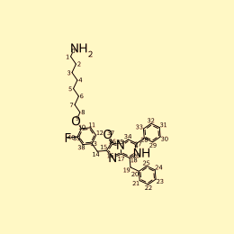 NCCCCCCCCOc1ccc(Cc2nc3c(Cc4ccccc4)[nH]c(-c4ccccc4)cn-3c2=O)cc1F